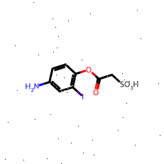 Nc1ccc(OC(=O)CS(=O)(=O)O)c(I)c1